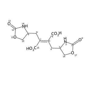 O=C1NC(C/C(C(=O)O)=C(/CC2COC(=O)N2)C(=O)O)CO1